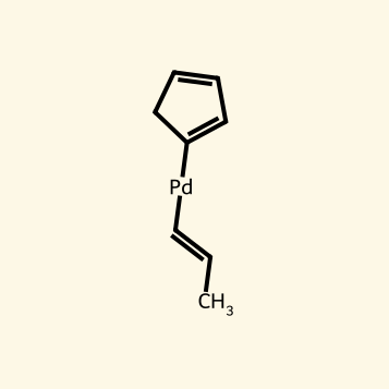 CC=[CH][Pd][C]1=CC=CC1